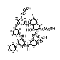 CC(=O)Nc1cc(C)cc2cc(SOOO)c(N=Nc3cc(Nc4nc(Nc5cccc(SOC(=O)CSOOO)c5)nc(N5CCOCC5)n4)ccc3S(=O)(=O)O)c(O)c12